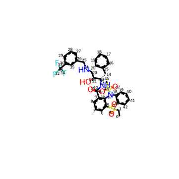 CCS(=O)(=O)c1cccc(C(=O)N[C@@H](Cc2ccccc2)[C@H](O)CNCc2cccc(C(F)(F)F)c2)c1N(c1ccccc1)S(C)(=O)=O